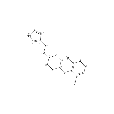 Fc1cccc(F)c1CN1CCC(OCc2c[nH]cn2)CC1